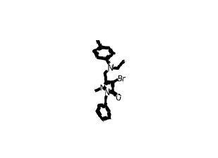 CCN(Cc1c(Br)c(=O)n(-c2ccccc2)n1C)c1ccc(C)cc1